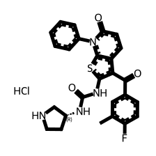 Cc1cc(C(=O)c2c(NC(=O)N[C@@H]3CCNC3)sc3c2ccc(=O)n3-c2ccccc2)ccc1F.Cl